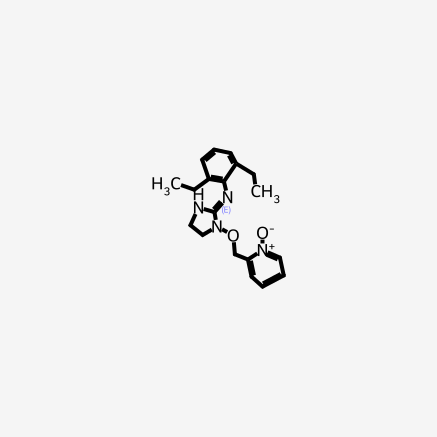 CCc1cccc(CC)c1/N=C1\NCCN1OCc1cccc[n+]1[O-]